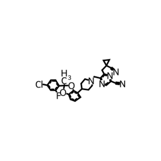 C[C@]1(c2ccc(Cl)cc2F)Oc2cccc(C3CCN(Cc4ncc(C#N)nc4CC4(C#N)CC4)CC3)c2O1